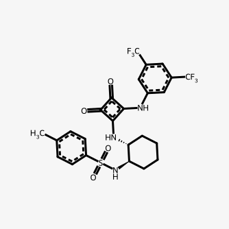 Cc1ccc(S(=O)(=O)N[C@@H]2CCCC[C@H]2Nc2c(Nc3cc(C(F)(F)F)cc(C(F)(F)F)c3)c(=O)c2=O)cc1